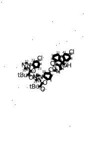 CC(C)(C)C(=O)C(Oc1ccc(Cl)cc1)n1cncn1.CC(C)(C)C(O)C(Oc1ccc(Cl)cc1)n1cncn1.OC(c1ccc(Cl)cc1)(c1cncnc1)c1ccccc1Cl